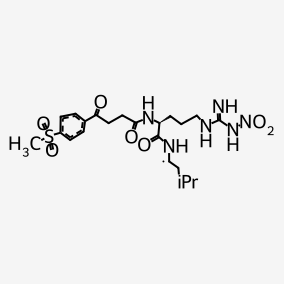 CC(C)C[CH]NC(=O)[C@H](CCCNC(=N)N[N+](=O)[O-])NC(=O)CCC(=O)c1ccc(S(C)(=O)=O)cc1